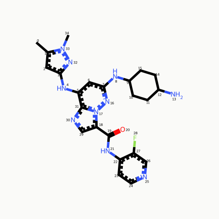 Cc1cc(Nc2cc(NC3CCC(N)CC3)nn3c(C(=O)Nc4ccncc4F)cnc23)nn1C